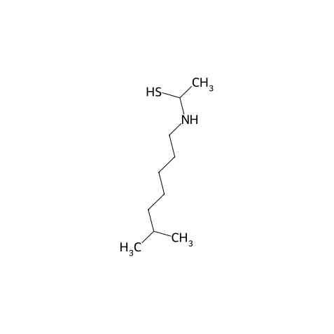 CC(C)CCCCCNC(C)S